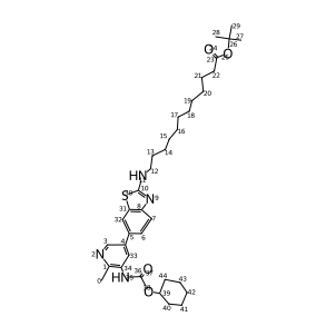 Cc1ncc(-c2ccc3nc(NCCCCCCCCCCCC(=O)OC(C)(C)C)sc3c2)cc1NC(=O)OC1CCCCC1